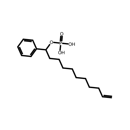 C=CCCCCCCCCC(OP(=O)(O)O)c1ccccc1